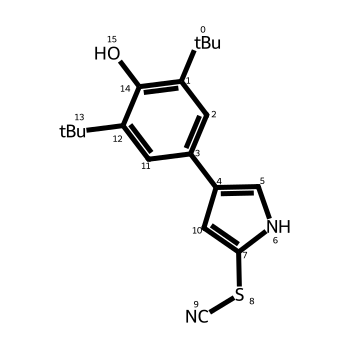 CC(C)(C)c1cc(-c2c[nH]c(SC#N)c2)cc(C(C)(C)C)c1O